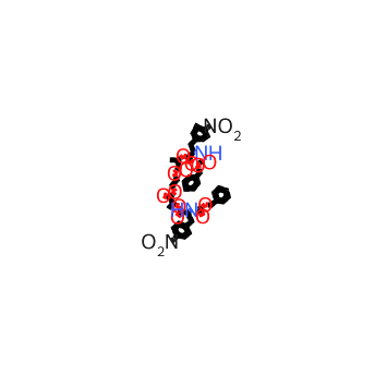 CC(OC(=O)C(Cc1ccc([N+](=O)[O-])cc1)NC(=O)OCc1ccccc1)C(=O)OCCOC(=O)C(C)OC(=O)C(Cc1ccc([N+](=O)[O-])cc1)NC(=O)OCc1ccccc1